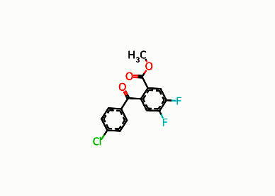 COC(=O)c1cc(F)c(F)cc1C(=O)c1ccc(Cl)cc1